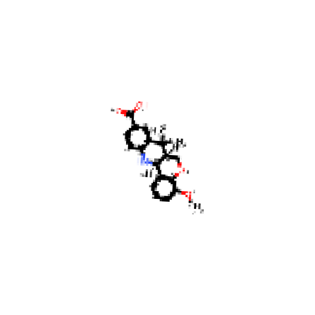 COc1cccc2c1OC[C@@H]1[C@@H]2Nc2ccc(C(=O)O)cc2C1(C)C